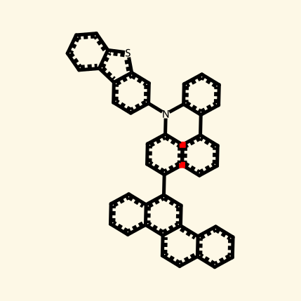 c1ccc(-c2ccccc2N(c2ccc(-c3cc4c5ccccc5ccc4c4ccccc34)cc2)c2ccc3c(c2)sc2ccccc23)cc1